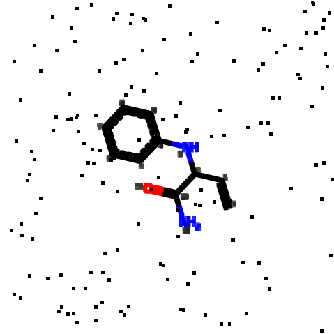 C=CC(Nc1ccccc1)C(N)=O